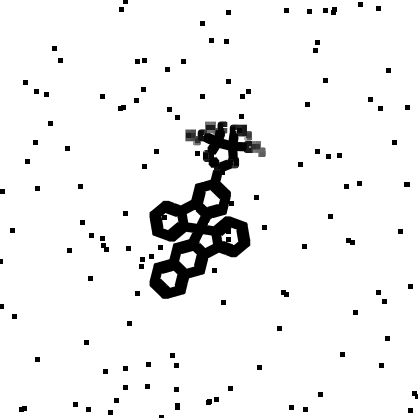 CC1(C)OB(c2ccc3c(c2)-c2ccccc2C32c3ccccc3-c3cc4ccccc4cc32)OC1(C)C